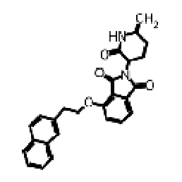 C=C1CCC(N2C(=O)c3cccc(OCCc4ccc5ccccc5c4)c3C2=O)C(=O)N1